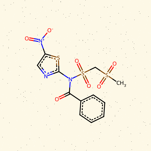 CS(=O)(=O)CS(=O)(=O)N(C(=O)c1ccccc1)c1ncc([N+](=O)[O-])s1